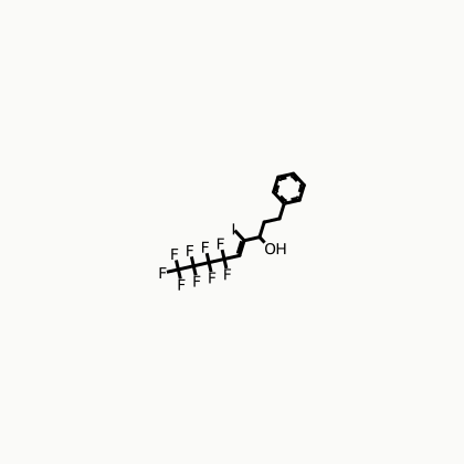 OC(CCc1ccccc1)C(I)=CC(F)(F)C(F)(F)C(F)(F)C(F)(F)F